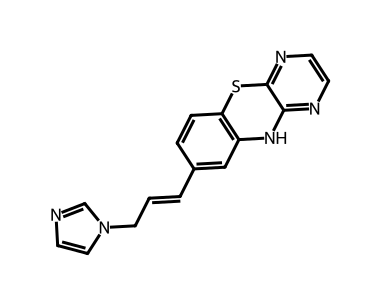 C(=Cc1ccc2c(c1)Nc1nccnc1S2)Cn1ccnc1